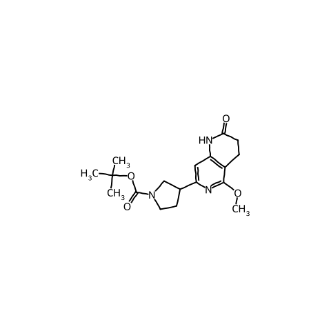 COc1nc(C2CCN(C(=O)OC(C)(C)C)C2)cc2c1CCC(=O)N2